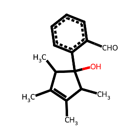 CC1=C(C)C(C)C(O)(c2ccccc2C=O)C1C